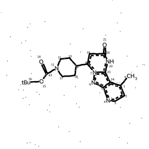 Cc1ccnc2nn3c(C4CCN(C(=O)OC(C)(C)C)CC4)cc(=O)[nH]c3c12